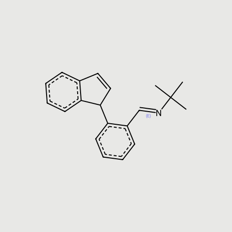 CC(C)(C)/N=C/c1ccccc1C1C=Cc2ccccc21